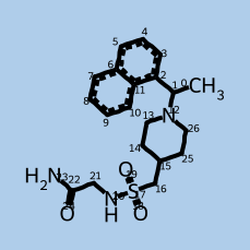 CC(c1cccc2ccccc12)N1CCC(CS(=O)(=O)NCC(N)=O)CC1